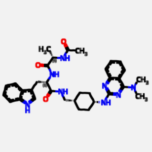 CC(=O)N[C@@H](C)C(=O)N[C@@H](Cc1c[nH]c2ccccc12)C(=O)NC[C@H]1CC[C@@H](Nc2nc(N(C)C)c3ccccc3n2)CC1